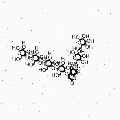 O=c1ccc2cc(O)c(O)cc2o1.OC[C@H]1OC(O)[C@H](O)[C@@H](O)[C@@H]1O.OC[C@H]1OC(O)[C@H](O)[C@@H](O)[C@@H]1O.OC[C@H]1OC(O)[C@H](O)[C@@H](O)[C@@H]1O.OC[C@H]1OC(O)[C@H](O)[C@@H](O)[C@@H]1O.OC[C@H]1OC(O)[C@H](O)[C@@H](O)[C@@H]1O.OC[C@H]1OC(O)[C@H](O)[C@@H](O)[C@@H]1O